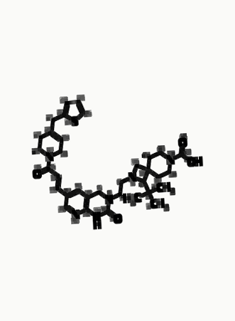 CC(C)(C)C1N(CCN2Cc3cc(C=CC(=O)N4CC=C(Cc5cccs5)CC4)cnc3NC2=O)CC12CCN(C(=O)O)CC2